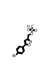 CS(=O)(=O)OCc1cc(-c2ccc(Br)cc2)on1